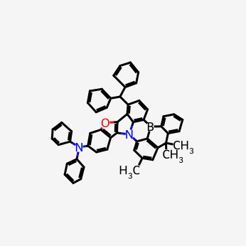 Cc1cc2c3c(c1)C(C)(C)c1ccccc1B3c1ccc(C(c3ccccc3)c3ccccc3)c3c4oc5cc(N(c6ccccc6)c6ccccc6)ccc5c4n-2c13